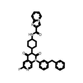 O=C(NC1CCC(C2C(=O)c3cc(F)ncc3N(c3cccc(Cc4ccccc4)c3)C2=O)CC1)c1cn2ccccc2n1